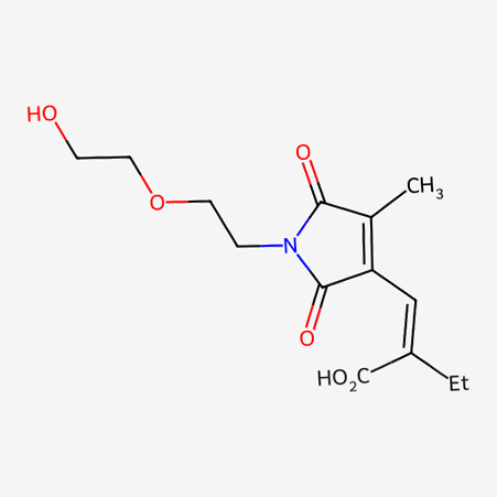 CCC(=CC1=C(C)C(=O)N(CCOCCO)C1=O)C(=O)O